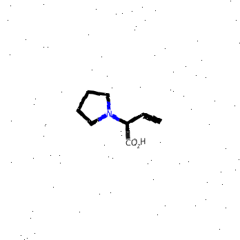 C=CC(C(=O)O)N1CCCC1